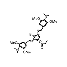 CCC(=O)[O-].CCc1n(N=Cc2cc(OC)c(N(C)C)c(OC)c2)cc[n+]1N=Cc1cc(OC)c(N(C)C)c(OC)c1